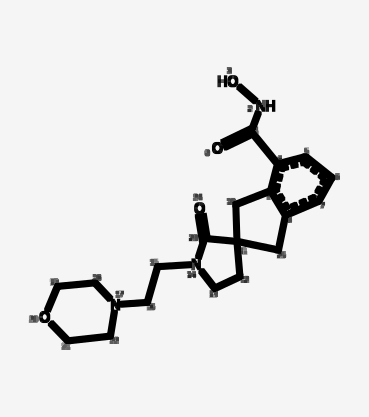 O=C(NO)c1cccc2c1CC1(CCN(CCN3CCOCC3)C1=O)C2